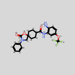 Nc1ccc(OC(F)(F)F)cc1NC(=O)C1CCC2(CC1)CN(c1ccccc1)C(=O)O2